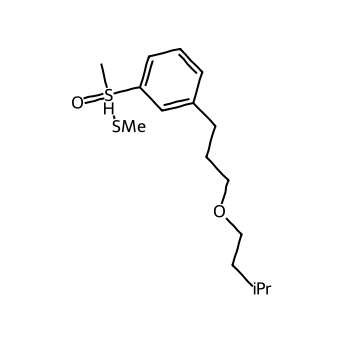 CS[SH](C)(=O)c1cccc(CCCOCCC(C)C)c1